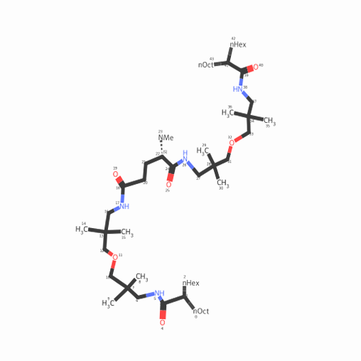 CCCCCCCCC(CCCCCC)C(=O)NCC(C)(C)COCC(C)(C)CNC(=O)CC[C@H](NC)C(=O)NCC(C)(C)COCC(C)(C)CNC(=O)C(CCCCCC)CCCCCCCC